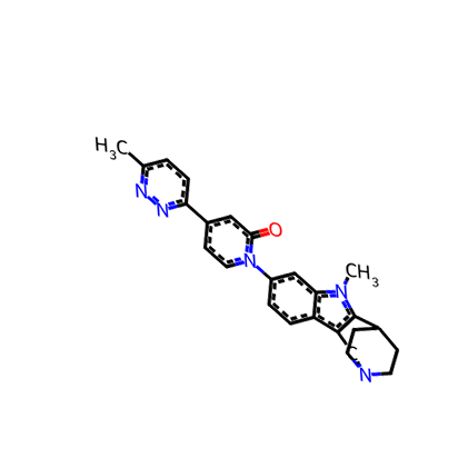 Cc1ccc(-c2ccn(-c3ccc4c5c(n(C)c4c3)C3CCN(CC3)C5)c(=O)c2)nn1